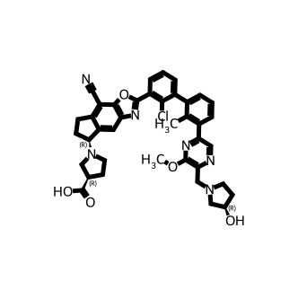 COc1nc(-c2cccc(-c3cccc(-c4nc5cc6c(c(C#N)c5o4)CC[C@H]6N4CC[C@@H](C(=O)O)C4)c3Cl)c2C)cnc1CN1CC[C@@H](O)C1